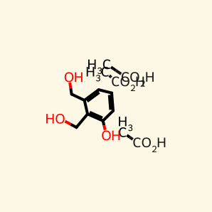 CC(=O)O.CC(=O)O.CC(=O)O.OCc1cccc(O)c1CO